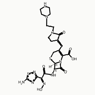 Nc1nc(C(=NO)C(=O)N[C@@H]2C(=O)N3C(C(=O)O)=C(C=C4CCN(CCN5CCNCC5)C4=O)CS[C@H]23)ns1